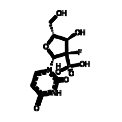 O=c1ccn([C@@H]2O[C@H](CO)[C@@H](O)[C@]2(F)P(=O)(O)O)c(=O)[nH]1